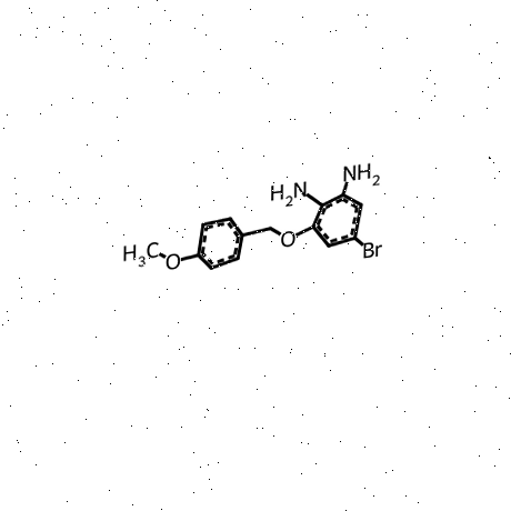 COc1ccc(COc2cc(Br)cc(N)c2N)cc1